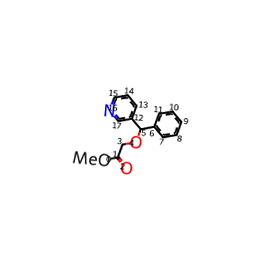 COC(=O)COC(c1ccccc1)c1cccnc1